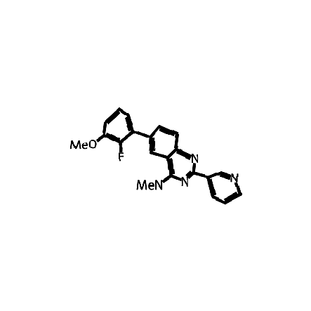 CNc1nc(-c2cccnc2)nc2ccc(-c3cccc(OC)c3F)cc12